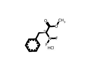 COC(=O)[C@H](Cc1ccccc1)N(F)F.Cl